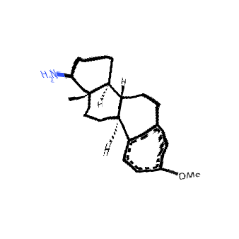 COc1ccc2c(c1)CC[C@@H]1[C@@H]2CC[C@]2(C)C(N)CC[C@@H]12